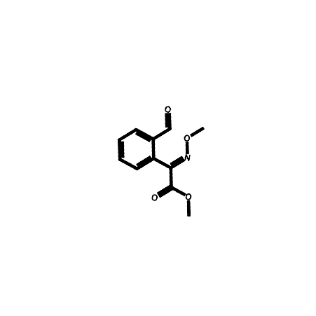 CO/N=C(/C(=O)OC)c1ccccc1C=O